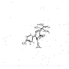 CC(C)(C(=O)O)n1nc(-c2ccc(Cl)cc2)n(C2CC2)c1=O